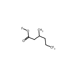 CC(CCC(F)(F)F)CC(=O)OF